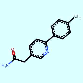 Cc1ccc(-c2ccc(CC(N)=O)cn2)cc1